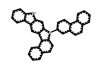 c1ccc2c(c1)ccc1cc(-n3c4cc5[nH]c6ccccc6c5cc4c4c5ccccc5ccc43)ccc12